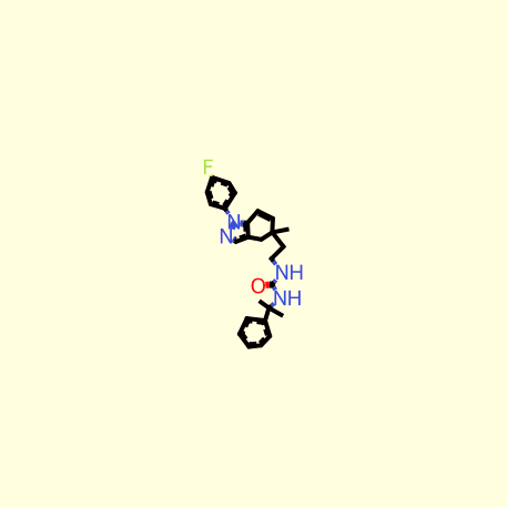 CC1(CCNC(=O)NC(C)(C)c2ccccc2)C=Cc2c(cnn2-c2ccc(F)cc2)C1